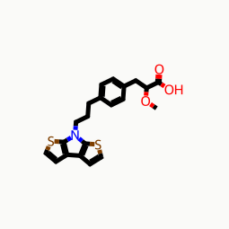 COC(Cc1ccc(CCCn2c3sccc3c3ccsc32)cc1)C(=O)O